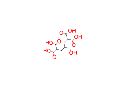 O=C(O)C(CC(CO)CC(C(=O)O)C(=O)O)C(=O)O